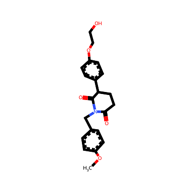 COc1ccc(CN2C(=O)CCC(c3ccc(OCCO)cc3)C2=O)cc1